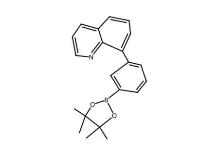 CC1(C)OB(c2cccc(-c3cccc4cccnc34)c2)OC1(C)C